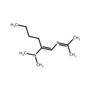 CCCC/C(=C\N=C(C)C)N(C)C